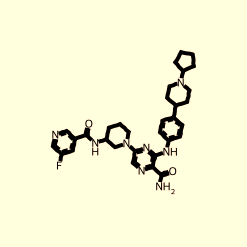 NC(=O)c1ncc(N2CCCC(NC(=O)c3cncc(F)c3)C2)nc1Nc1ccc(C2CCN(C3CCCC3)CC2)cc1